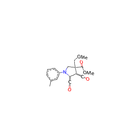 COCC1(C(=O)OC)CN(c2cccc(C)c2)C(=C=O)C1=C=O